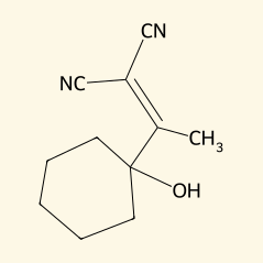 CC(=C(C#N)C#N)C1(O)CCCCC1